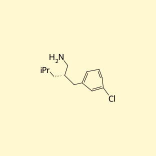 CC(C)C[C@H](CN)Cc1cccc(Cl)c1